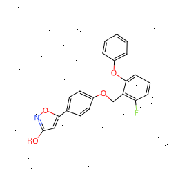 Oc1cc(-c2ccc(OCc3c(F)cccc3Oc3ccccc3)cc2)on1